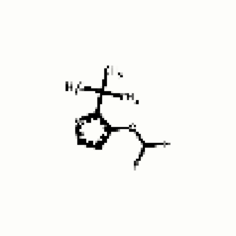 CC(C)(C)c1sccc1OC(F)F